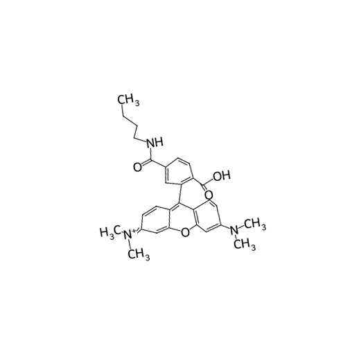 CCCCNC(=O)c1ccc(C(=O)O)c(-c2c3ccc(=[N+](C)C)cc-3oc3cc(N(C)C)ccc23)c1